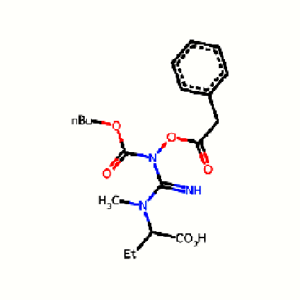 CCCCOC(=O)N(OC(=O)Cc1ccccc1)C(=N)N(C)C(CC)C(=O)O